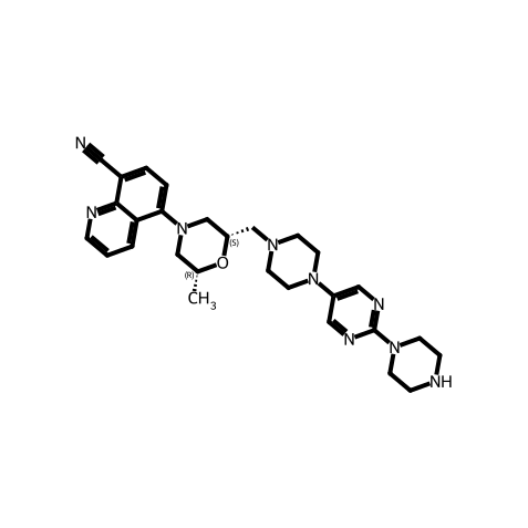 C[C@@H]1CN(c2ccc(C#N)c3ncccc23)C[C@H](CN2CCN(c3cnc(N4CCNCC4)nc3)CC2)O1